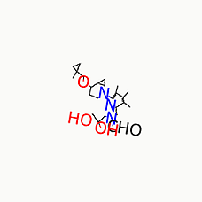 Cc1c(CN(C=O)CC(O)CO)nc(N2CCC(OCC3(C)CC3)C3CC32)c(C)c1C